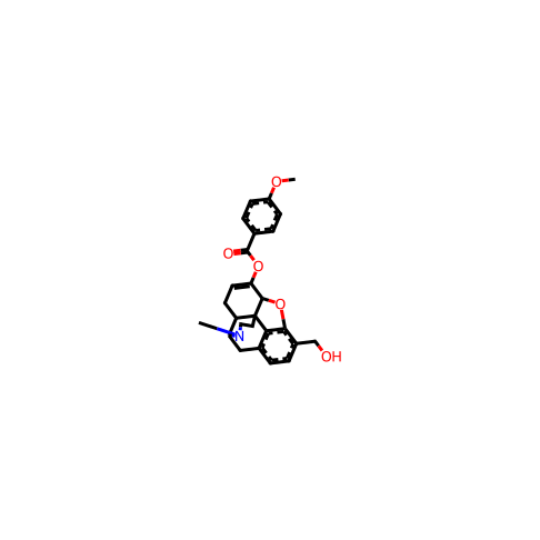 COc1ccc(C(=O)OC2=CCC3C4Cc5ccc(CO)c6c5C3(CCN4C)C2O6)cc1